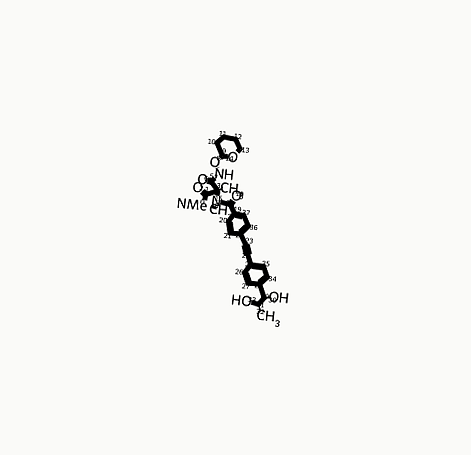 CNC(=O)[C@@](C)(C(=O)NOC1CCCCO1)N(C)C(=O)c1ccc(C#Cc2ccc([C@H](O)[C@H](C)O)cc2)cc1